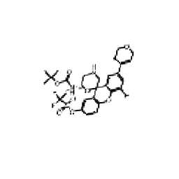 CC(C)(C)OC(=O)N[C@@H]1CNCC2(O1)c1cc(OS(=O)(=O)C(F)(F)F)ccc1Oc1c(F)cc(C3=CCOCC3)cc12